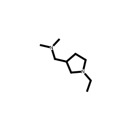 CCN1CCC(CN(C)C)C1